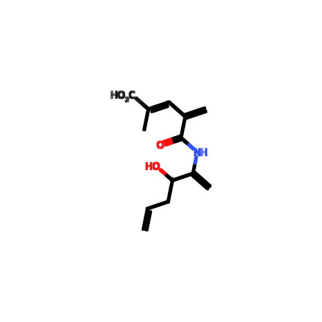 C=CC[C](O)C(=C)NC(=O)C(=C)C=C(C)C(=O)O